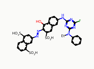 CCN(c1ccccc1)c1nc(F)nc(Nc2ccc3c(O)c(N=Nc4cc(S(=O)(=O)O)c5cccc(S(=O)(=O)O)c5c4)c(S(=O)(=O)O)cc3c2)n1